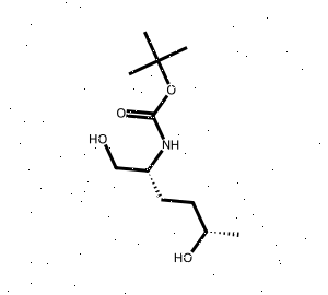 C[C@H](O)CC[C@H](CO)NC(=O)OC(C)(C)C